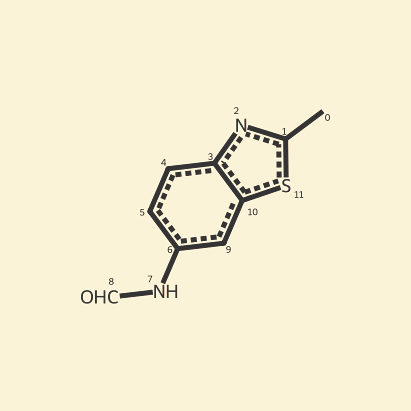 Cc1nc2ccc(NC=O)cc2s1